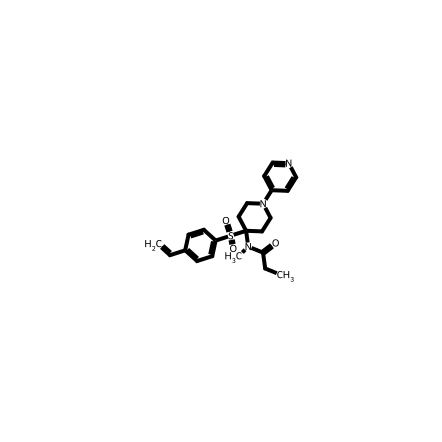 C=Cc1ccc(S(=O)(=O)C2(N(C)C(=O)CC)CCN(c3ccncc3)CC2)cc1